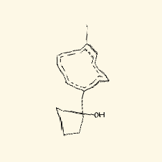 Cc1ccc(C2(O)CCC2)cc1